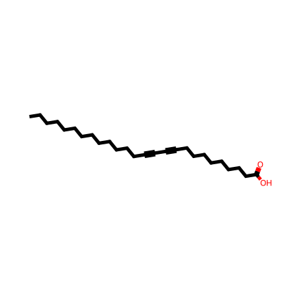 CCCCCCCCCCCCCC#CC#CCCCCCCCCC(=O)O